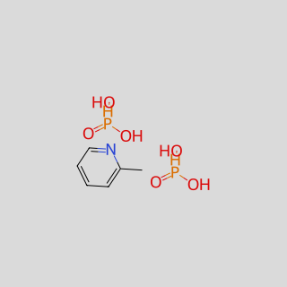 Cc1ccccn1.O=[PH](O)O.O=[PH](O)O